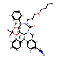 CCCCOCCCN1C(=O)N(Cc2ccc(F)c(C#N)c2)[C@H](Cc2ccccc2)[C@@H]2OC(C)(C)O[C@H]2C1c1ccccc1